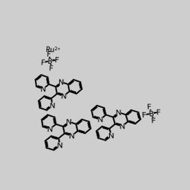 F[B-](F)(F)F.F[B-](F)(F)F.[Ru+2].c1ccc(-c2nc3ccccc3nc2-c2ccccn2)nc1.c1ccc(-c2nc3ccccc3nc2-c2ccccn2)nc1.c1ccc(-c2nc3ccccc3nc2-c2ccccn2)nc1